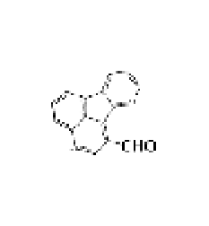 O=Cc1c[c]c2cccc3c2c1-c1ccccc1-3